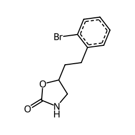 O=C1NCC(CCc2ccccc2Br)O1